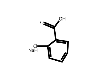 O=C(O)c1ccccc1Cl.[NaH]